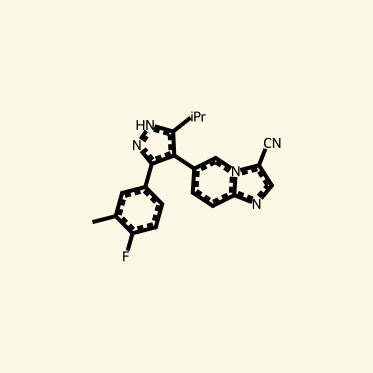 Cc1cc(-c2n[nH]c(C(C)C)c2-c2ccc3ncc(C#N)n3c2)ccc1F